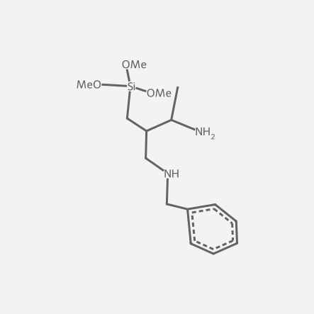 CO[Si](CC(CNCc1ccccc1)C(C)N)(OC)OC